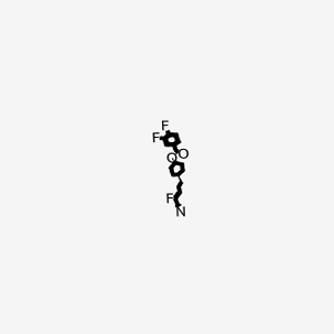 N#C/C(F)=C/CC[C@H]1CC[C@H](OC(=O)c2ccc(F)c(F)c2)CC1